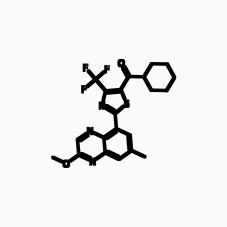 COc1cnc2c(-c3nc(C(F)(F)F)c(C(=O)C4CCCCC4)s3)cc(C)cc2n1